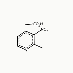 CC(=O)O.Cc1ncccc1[N+](=O)[O-]